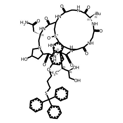 CC[C@H](C)[C@@H]1NC(=O)CNC(=O)C2Cc3c([nH]c4cc(OCCCSC(c5ccccc5)(c5ccccc5)c5ccccc5)ccc34)[S+]([O-])CC(NC(=O)CNC1=O)C(=O)N[C@@H](CC(N)=O)CN1CC(O)CC1C(=O)N[C@@H]([C@@H](C)[C@@H](O)CO)C(=O)N2